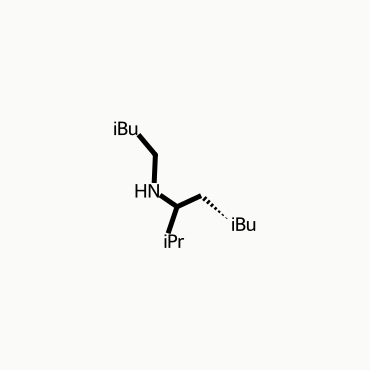 CCC(C)CNC(C[C@@H](C)CC)C(C)C